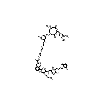 CCN(C)CC(=O)OC1OC(=O)CN(C)CCN(CCN(CC)CC(=O)NCCOCCOCCOCC(=O)NCc2cccc(C(=O)N[C@@H](CCSC)C(=O)NCC(=O)N[C@@H](CCCCN3C(=O)C=CC3=O)C(=O)O)c2F)CC(=O)O1